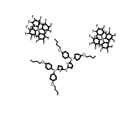 CCCCOc1ccc([S+](c2ccc(OCCCC)cc2)c2ccc(Sc3ccc([S+](c4ccc(OCCCC)cc4)c4ccc(OCCCC)cc4)s3)s2)cc1.Fc1c(F)c(F)c([B-](c2c(F)c(F)c(F)c(F)c2F)(c2c(F)c(F)c(F)c(F)c2F)c2c(F)c(F)c(F)c(F)c2F)c(F)c1F.Fc1c(F)c(F)c([B-](c2c(F)c(F)c(F)c(F)c2F)(c2c(F)c(F)c(F)c(F)c2F)c2c(F)c(F)c(F)c(F)c2F)c(F)c1F